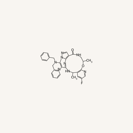 CC1CNC(=O)c2cnn3c(N(Cc4ccccc4)Cc4ccccc4)c(Br)c(nc23)NC(C)c2cc(F)cnc2O1